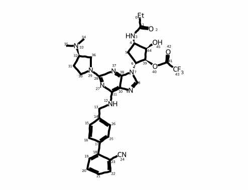 CCC(=O)N[C@H]1C[C@@H](n2cnc3c(NCc4ccc(-c5ccccc5C#N)cc4)nc(N4CC[C@@H](N(C)C)C4)nc32)[C@H](OC(=O)C(F)(F)F)[C@@H]1O